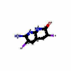 Nc1nc2[nH]c(=O)c(I)cc2cc1I